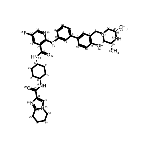 C[C@@H]1CN(Cc2cc(-c3cccc(Oc4ncc(F)cc4C(=O)N[C@H]4CC[C@H](NC(=O)c5cn6c(n5)CCCC6)CC4)c3)ccc2O)C[C@H](C)N1